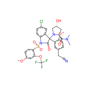 COc1ccc(S(=O)(=O)N2C(=O)C(c3cc(CC#N)ccc3OC)(N3C[C@H](O)C[C@H]3C(=O)N(C)C)c3cc(Cl)ccc32)c(OC(F)(F)F)c1